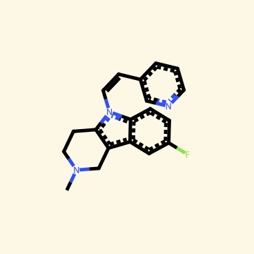 CN1CCc2c(c3cc(F)ccc3n2/C=C\c2cccnc2)C1